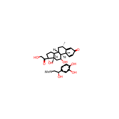 CNC[C@H](O)c1ccc(O)c(O)c1.C[C@H]1C[C@@H]2[C@H]([C@@H](O)C[C@@]3(C)[C@H]2CC[C@]3(O)C(=O)CO)[C@@]2(C)C=CC(=O)C=C12